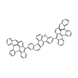 C=Cc1cc2c3c(cccc3c1-c1ccc(-c3c4ccccc4c(-c4ccccc4-c4cccc5ccccc45)c4ccccc34)cc1C)Oc1cc(-c3c4ccccc4c(-c4ccccc4-c4cccc5ccccc45)c4ccccc34)ccc1-2